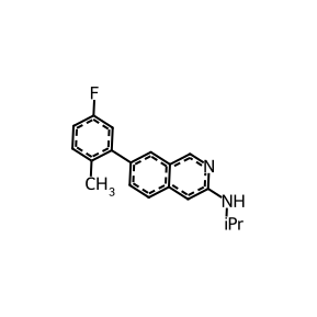 Cc1ccc(F)cc1-c1ccc2cc(NC(C)C)ncc2c1